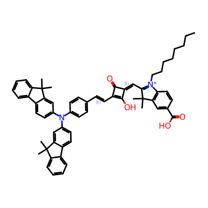 CCCCCCCC[N+]1=C(/C=C2/C(=O)C(/C=C/c3ccc(N(c4ccc5c(c4)C(C)(C)c4ccccc4-5)c4ccc5c(c4)C(C)(C)c4ccccc4-5)cc3)=C2O)C(C)(C)c2cc(C(=O)O)ccc21